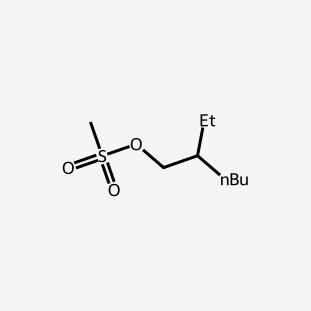 CCCCC(CC)COS(C)(=O)=O